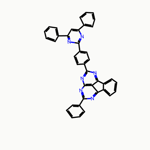 c1ccc(-c2cc(-c3ccccc3)nc(-c3ccc(-c4nc5c6c(nc(-c7ccccc7)nc6n4)-c4ccccc4-5)cc3)n2)cc1